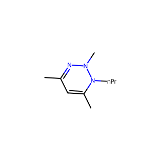 CCCN1C(C)=CC(C)=NN1C